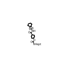 CCCCCCCC(=O)Oc1ccc(C(=O)Nc2nc3ccccc3s2)cc1